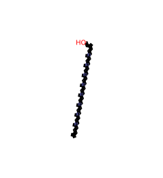 CC(C)=CCC/C(C)=C/CC/C(C)=C/CC/C(C)=C/CC/C(C)=C/CC/C(C)=C/CC/C(C)=C/CC/C(C)=C/CC/C(C)=C/CCC(C)CCO